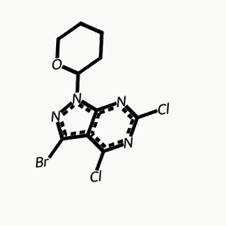 Clc1nc(Cl)c2c(Br)nn(C3CCCCO3)c2n1